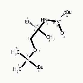 CC[C@](C)(CO[Si](C)(C)C(C)(C)C)N[S@@+]([O-])C(C)(C)C